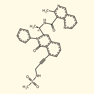 Cc1ncc2cccnc2c1C(=O)N[C@H](C)c1cc2cccc(C#CCNS(C)(=O)=O)c2c(=O)n1-c1ccccc1